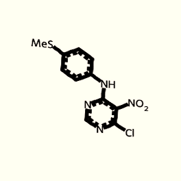 CSc1ccc(Nc2ncnc(Cl)c2[N+](=O)[O-])cc1